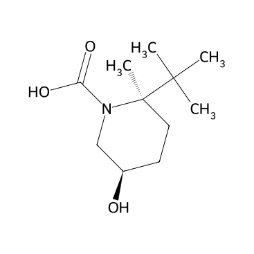 CC(C)(C)[C@@]1(C)CC[C@@H](O)CN1C(=O)O